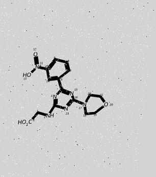 O=C(O)CNc1nc(-c2cccc([N+](=O)O)c2)nc(N2CCOCC2)n1